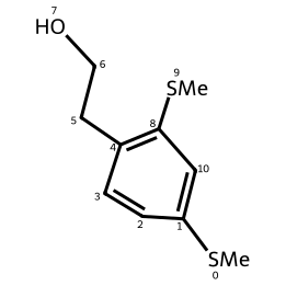 CSc1ccc(CCO)c(SC)c1